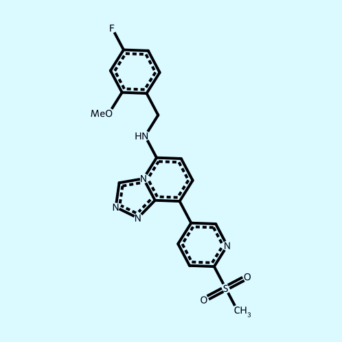 COc1cc(F)ccc1CNc1ccc(-c2ccc(S(C)(=O)=O)nc2)c2nncn12